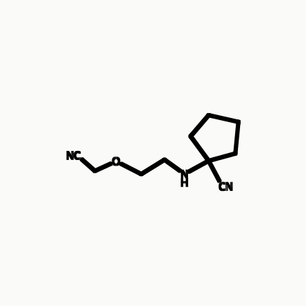 N#CCOCCNC1(C#N)CCCC1